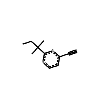 C#Cc1ccnc(C(C)(C)CC)n1